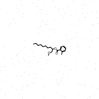 CCCCCCCCC(COC)OC(=O)c1ccccc1C